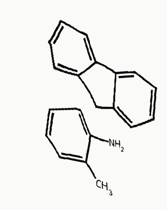 Cc1ccccc1N.c1ccc2c(c1)Cc1ccccc1-2